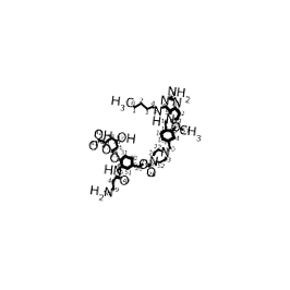 CCCCCNc1nc(N)nc2ccn(Cc3ccc(CN4CCN(C(=O)OCc5ccc(OC6CC(O)CC(C(=O)O)O6)c(NC(=O)CCN)c5)CC4)cc3OC)c12